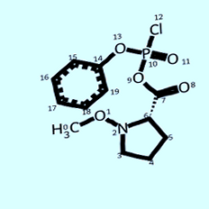 CON1CCC[C@H]1C(=O)OP(=O)(Cl)Oc1ccccc1